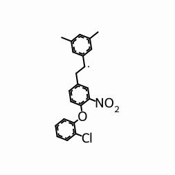 Cc1cc(C)cc([CH]Cc2ccc(Oc3ccccc3Cl)c([N+](=O)[O-])c2)c1